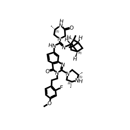 COc1ccc(CCn2c(N3C[C@@H](C)N[C@@H](C)C3)nc3cc(NC(=N[C@H]4C[C@H]5C[C@@H]([C@@H]4C)C5(C)C)N4CC(=O)N[C@@H](C)C4)ccc3c2=O)c(F)c1